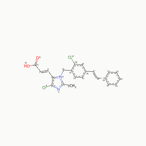 Cc1nc(Cl)c(/C=C/C(=O)O)n1Cc1ccc(/C=C/c2ccccc2)cc1Cl